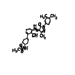 CC1=NN(c2ccc(C)c(C)c2)C(=O)C1=NNc1cccc(C2CCC(NS(C)(=O)=O)CC2)c1O